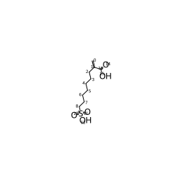 C=C(CCCCCCCS(=O)(=O)O)C(=O)O